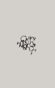 Cn1nc2c(c1-c1cc(F)c(F)c(F)c1)C[C@@H]1CCC[C@H]2N1C(=O)c1ccnc2c1ccn2C